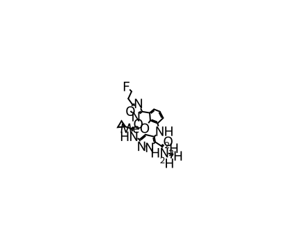 [2H]C([2H])([2H])NC(=O)c1nnc(NC(=O)C2CC2)cc1Nc1cccc(-c2noc(CCF)n2)c1OC